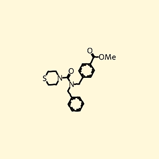 COC(=O)c1ccc(CN(Cc2ccccc2)C(=O)N2CCSCC2)cc1